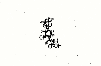 Cc1c(B2OC(C)(C)C(C)(C)O2)ccc(C(C)NC(=O)O)c1Cl